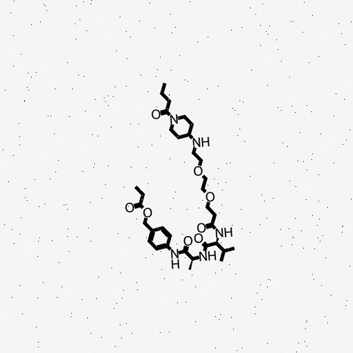 CCCC(=O)N1CCC(NCCOCCOCCC(=O)N[C@H](C(=O)N[C@@H](C)C(=O)Nc2ccc(COC(=O)CC)cc2)C(C)C)CC1